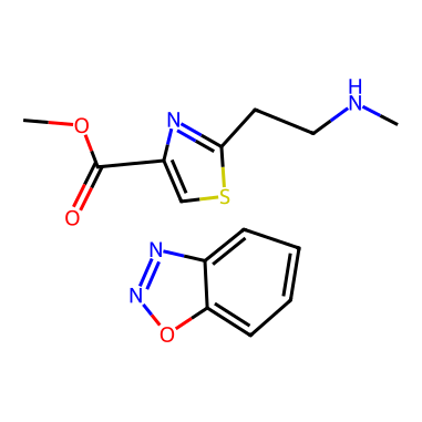 CNCCc1nc(C(=O)OC)cs1.c1ccc2onnc2c1